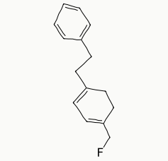 FCC1=CC=C(CCc2ccccc2)CC1